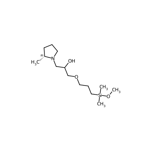 CO[Si](C)(C)CCCOCC(O)CN1CCC[C@H]1C